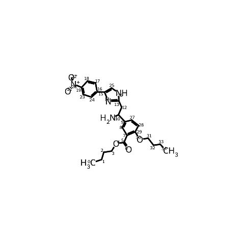 CCCCOC(=O)c1cc(C(N)Cc2nc(-c3ccc([N+](=O)[O-])cc3)c[nH]2)ccc1OCCCC